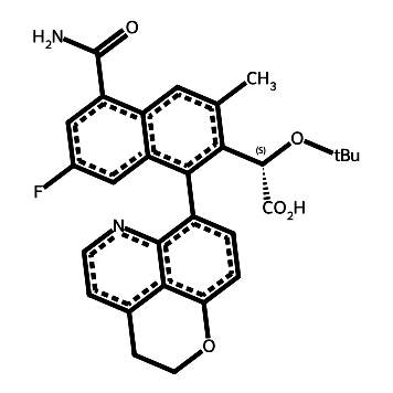 Cc1cc2c(C(N)=O)cc(F)cc2c(-c2ccc3c4c(ccnc24)CCO3)c1[C@H](OC(C)(C)C)C(=O)O